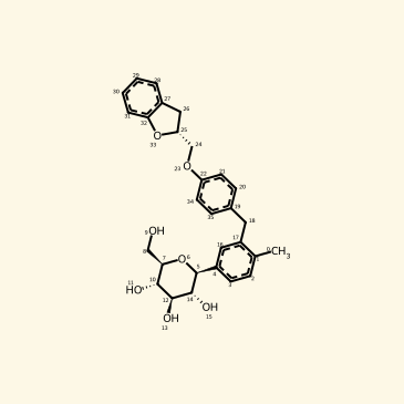 Cc1ccc([C@@H]2O[C@H](CO)[C@@H](O)[C@H](O)[C@H]2O)cc1Cc1ccc(OC[C@H]2Cc3ccccc3O2)cc1